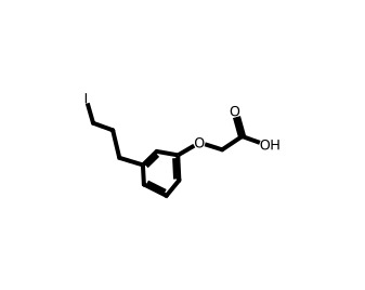 O=C(O)COc1cccc(CCCI)c1